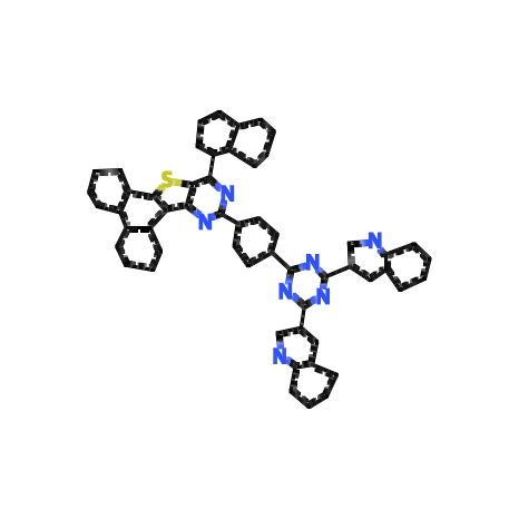 c1ccc2ncc(-c3nc(-c4ccc(-c5nc(-c6cccc7ccccc67)c6sc7c8ccccc8c8ccccc8c7c6n5)cc4)nc(-c4cnc5ccccc5c4)n3)cc2c1